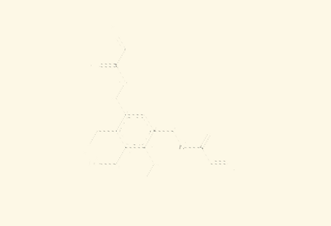 C=CC(=O)NCc1cc(CNC(=O)C=C)c(CO)c(CO)c1CO